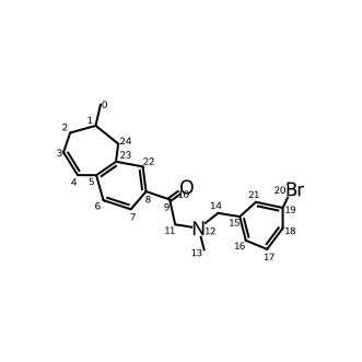 CC1CC=Cc2ccc(C(=O)CN(C)Cc3cccc(Br)c3)cc2C1